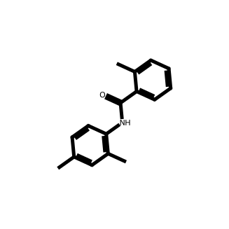 Cc1ccc(NC(=O)c2ccccc2C)c(C)c1